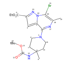 CCOC(=O)c1cc2c(N3CCC(C)(NC(=O)OC(C)(C)C)CC3)nc(C)c(Br)n2n1